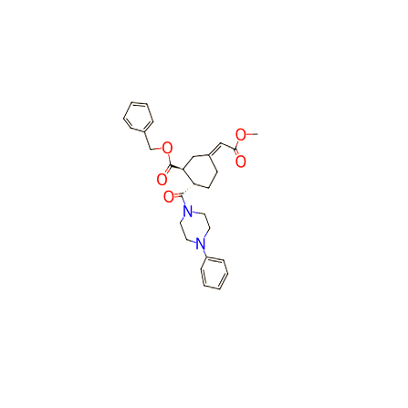 COC(=O)C=C1CC[C@H](C(=O)N2CCN(c3ccccc3)CC2)[C@@H](C(=O)OCc2ccccc2)C1